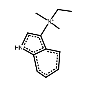 CC[N+](C)(C)c1c[nH]c2ccccc12